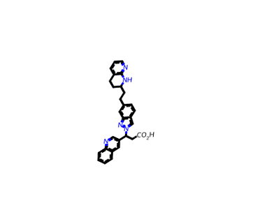 O=C(O)CC(c1cnc2ccccc2c1)n1cc2ccc(CCC3CCc4cccnc4N3)cc2n1